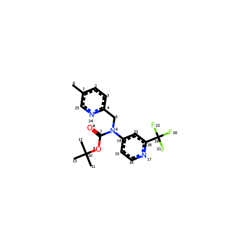 Cc1ccc(CN(C(=O)OC(C)(C)C)c2ccnc(C(F)(F)F)c2)nc1